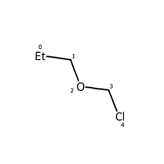 [CH2]CCOCCl